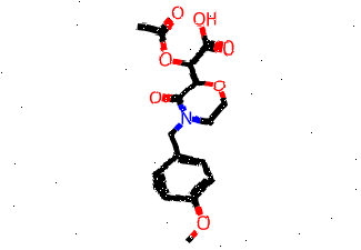 COc1ccc(CN2CCOC(C(OC(C)=O)C(=O)O)C2=O)cc1